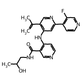 C=C(C)c1cnc(-c2ccncc2F)cc1Nc1ccncc1C(=O)NCC(C)O